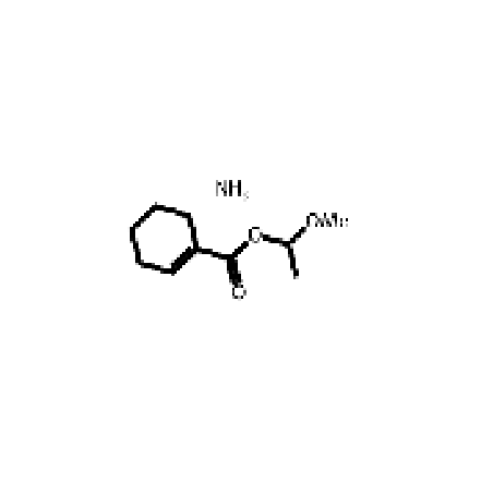 COC(C)OC(=O)C1=CCCCC1.N